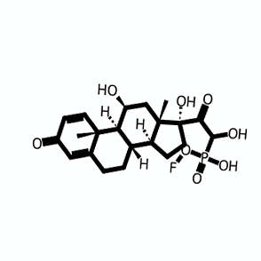 C[C@]12C=CC(=O)C=C1CC[C@@H]1[C@@H]2[C@@H](O)C[C@@]2(C)[C@H]1CC[C@]2(O)C(=O)C(O)P(=O)(O)OF